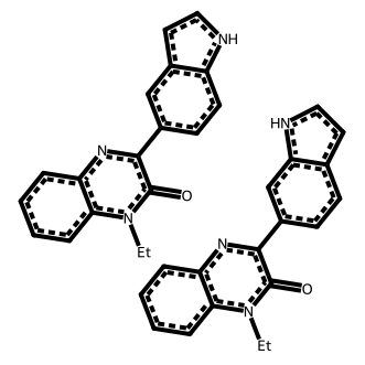 CCn1c(=O)c(-c2ccc3[nH]ccc3c2)nc2ccccc21.CCn1c(=O)c(-c2ccc3cc[nH]c3c2)nc2ccccc21